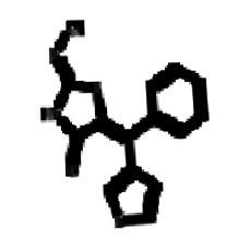 N#CN=C1NC(=O)C(=C(c2ccccc2)c2ccsc2)S1